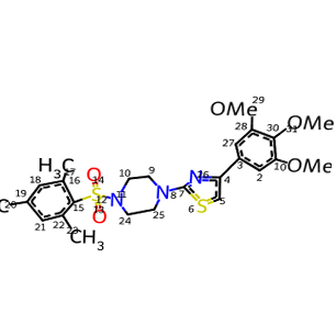 COc1cc(-c2csc(N3CCN(S(=O)(=O)c4c(C)cc(C)cc4C)CC3)n2)cc(OC)c1OC